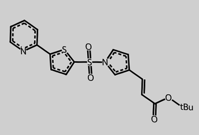 CC(C)(C)OC(=O)C=Cc1ccn(S(=O)(=O)c2ccc(-c3ccccn3)s2)c1